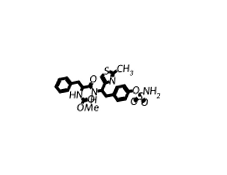 COC(=O)NC(Cc1ccccc1)C(=O)NC(Cc1ccc(OS(N)(=O)=O)cc1)c1csc(C)n1